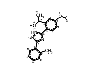 COc1ccc(-c2nc(-c3ccccc3C)n[nH]2)c(C(C)O)c1